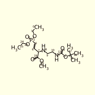 CCOP(=O)(/C=C/[C@@H](NCCNC(=O)OC(C)(C)C)C(=O)OC)OCC